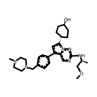 COC[C@H](C)Nc1ncc2c(-c3ccc(CN4CCN(C)CC4)cc3)cc([C@H]3CC[C@H](O)CC3)n2n1